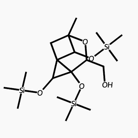 CC12CC3(C1O[Si](C)(C)C)C(O[Si](C)(C)C)C3(O[Si](C)(C)C)C(CO)O2